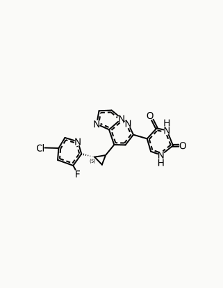 O=c1[nH]cc(-c2cc(C3C[C@@H]3c3ncc(Cl)cc3F)c3nccn3n2)c(=O)[nH]1